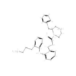 CC(=O)NCCCc1ccccc1Oc1ccccc1CCC(=O)N1CCNCC1Cc1ccccc1